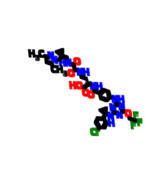 Cc1cc(C)n(CC2(CNC(=O)C(=O)NCC[C@H](NC(=O)c3ccc(Nc4nc(NC5(c6ccc(Cl)cc6)CC5)nc(OCC(F)(F)F)n4)cc3)C(=O)O)CC2)n1